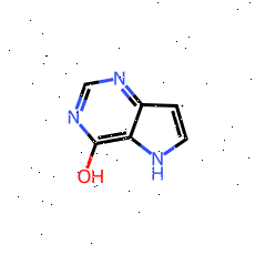 Oc1ncnc2[c]c[nH]c12